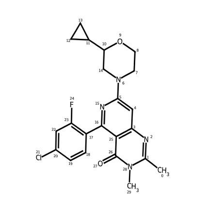 Cc1nc2cc(N3CCOC(C4CC4)C3)nc(-c3ccc(Cl)cc3F)c2c(=O)n1C